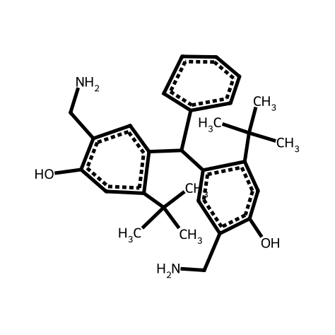 CC(C)(C)c1cc(O)c(CN)cc1C(c1ccccc1)c1cc(CN)c(O)cc1C(C)(C)C